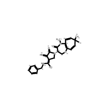 CN1C(=O)[C@@H](N2C/C(=C(\Cl)NCc3ccccc3)C(=N)C2=O)COC2=C1C=CC(C)(I)C=C2